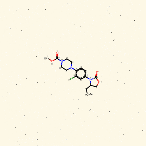 COCC1COC(=O)N1c1ccc(N2CCN(C(=O)OC(C)(C)C)CC2)c(F)c1